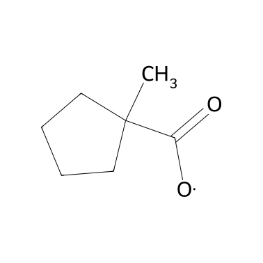 CC1(C([O])=O)CCCC1